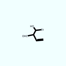 C=CC(C=O)C(O)CC